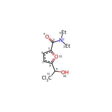 CCN(CC)C(=O)c1ccc(C(O)C(Cl)(Cl)Cl)o1